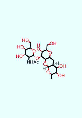 CC(=O)NC1[C@@H](O[C@@H]2C3O[C@@H]4OC(C)C(O)C(O)[C@@H]4CC3O[C@H](CO)[C@@H]2O)O[C@H](CO)[C@H](O)[C@@H]1O